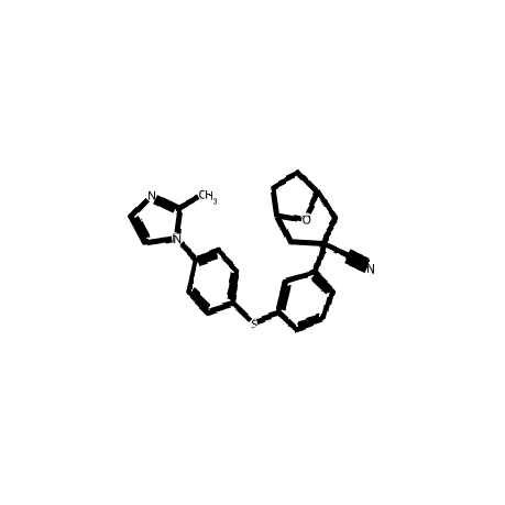 Cc1nccn1-c1ccc(Sc2cccc(C3(C#N)CC4CCC(C3)O4)c2)cc1